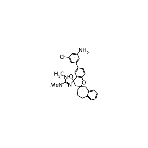 CNC1=NC2(CC3(CCCc4ccccc4C3)Oc3ccc(-c4cc(N)cc(Cl)c4)cc32)ON1C